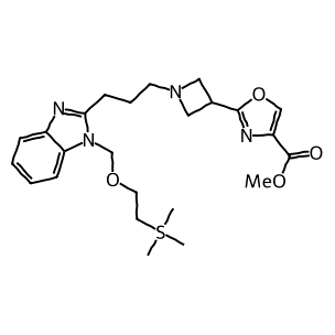 COC(=O)c1coc(C2CN(CCCc3nc4ccccc4n3COCCS(C)(C)C)C2)n1